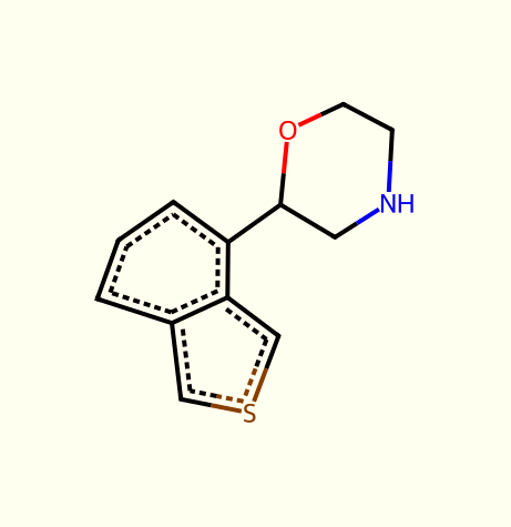 c1cc(C2CNCCO2)c2cscc2c1